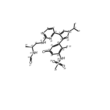 CC(C)n1cc(-c2ccnc(NC[C@H](C)NC=O)n2)c(-c2cc(Cl)cc(NS(C)(=O)=O)c2F)n1